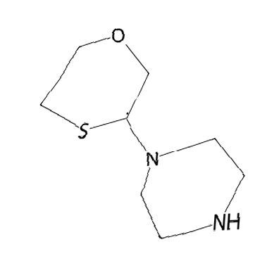 C1CN([C]2COCCS2)CCN1